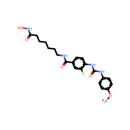 O=C(CCCCCCNC(=O)c1ccc(NC(=O)Nc2ccc(OC(F)(F)F)cc2)c(F)c1)NO